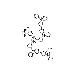 Fc1ccc(-c2cc(-c3cccc(-n4c5ccccc5c5cc(-c6ccc7c(c6)c6ccccc6n7-c6ccccc6)ccc54)c3)nc(-c3cccc(-n4c5ccccc5c5cc(-c6ccc7c(c6)c6ccccc6n7-c6ccccc6)ccc54)c3)n2)cc1C(F)(F)F